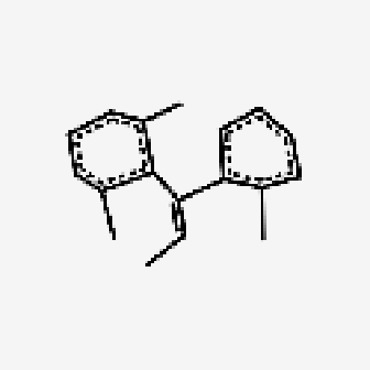 CC=C(c1ccccc1C)c1c(C)cccc1C